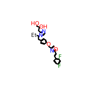 CCC(Cc1ccc(OCc2coc(C=Cc3ccc(F)cc3F)n2)cc1)n1ccnc1C[C@@H](O)CO